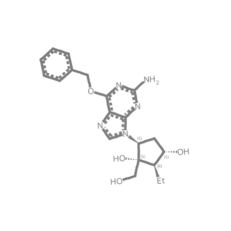 CC[C@@H]1[C@@H](O)C[C@H](n2cnc3c(OCc4ccccc4)nc(N)nc32)[C@]1(O)CO